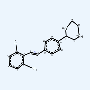 Clc1cccc(Cl)c1/C=C/c1ccc(C2CNCCO2)cc1